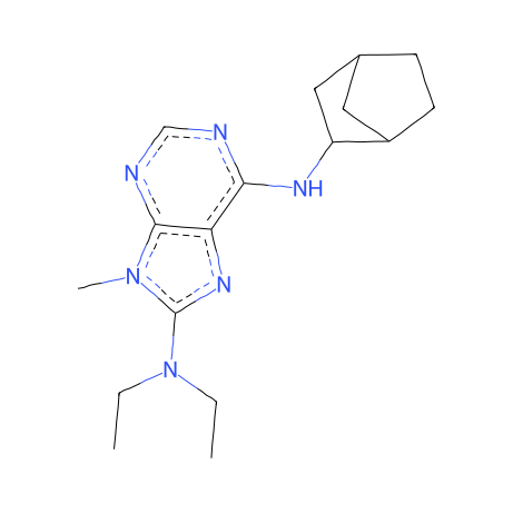 CCN(CC)c1nc2c(NC3CC4CCC3C4)ncnc2n1C